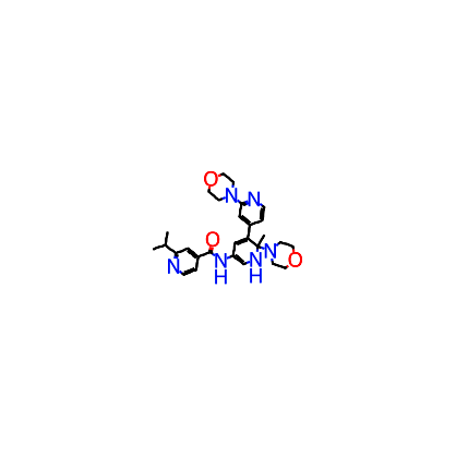 CC(C)c1cc(C(=O)NC2=CNC(C)(N3CCOCC3)C(c3ccnc(N4CCOCC4)c3)=C2)ccn1